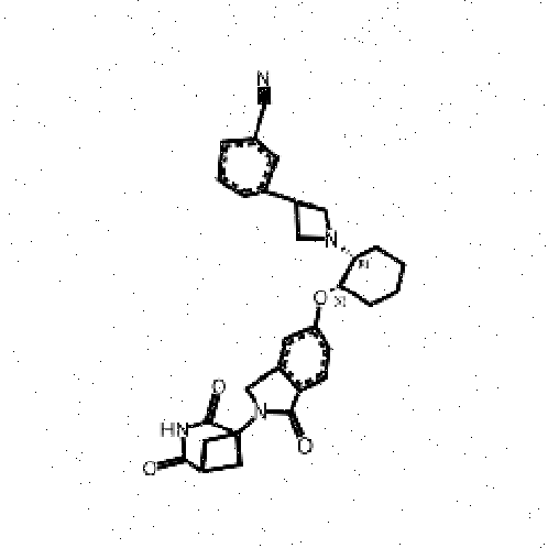 N#Cc1cccc(C2CN([C@@H]3CCCC[C@@H]3Oc3ccc4c(c3)CN(C35CC(C3)C(=O)NC5=O)C4=O)C2)c1